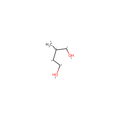 [CH2]C(CO)C[CH]O